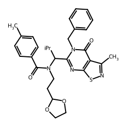 Cc1ccc(C(=O)N(CCC2OCCO2)C(c2nc3snc(C)c3c(=O)n2Cc2ccccc2)C(C)C)cc1